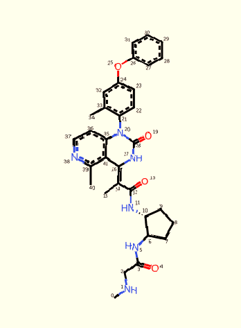 CNCC(=O)NC1CCC[C@H]1NC(=O)/C(C)=C1\NC(=O)N(c2ccc(Oc3ccccc3)cc2C)c2ccnc(C)c21